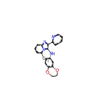 Cc1cccc2nc(-c3ccccn3)c(Nc3ccc4c(c3)OCCO4)n12